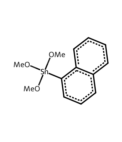 C[O][Sn]([O]C)([O]C)[c]1cccc2ccccc12